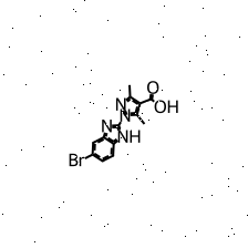 Cc1nn(-c2nc3cc(Br)ccc3[nH]2)c(C)c1C(=O)O